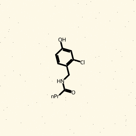 CCCC(=O)NCc1ccc(O)cc1Cl